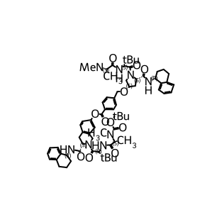 CN[C@@H](C)C(=O)N[C@H](C(=O)N1C[C@@H](OCc2ccc(C(=O)Oc3ccc4c(c3)CN(C(=O)[C@@H](NC(=O)[C@H](C)N(C)C(=O)OC(C)(C)C)C(C)(C)C)[C@H](C(=O)N[C@@H]3CCCc5ccccc53)C4)cc2)C[C@H]1C(=O)N[C@@H]1CCCc2ccccc21)C(C)(C)C